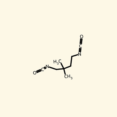 CC(C)(CCN=C=O)CN=C=O